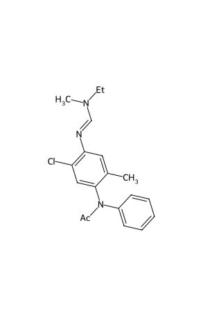 CCN(C)C=Nc1cc(C)c(N(C(C)=O)c2ccccc2)cc1Cl